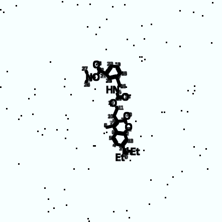 CCN(CC)c1ccc2c(C)c(CCOC(=O)NCc3cccc(C(=O)ON(C)C)c3)c(=O)oc2c1